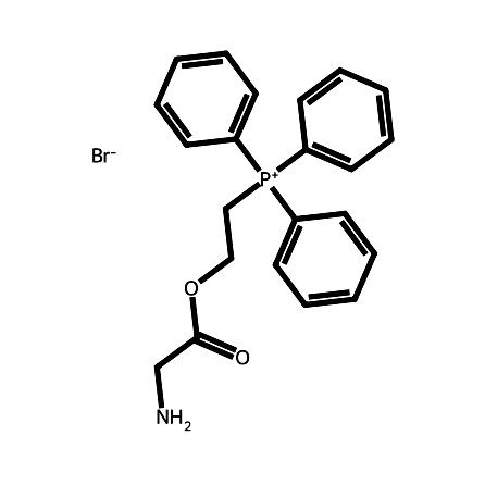 NCC(=O)OCC[P+](c1ccccc1)(c1ccccc1)c1ccccc1.[Br-]